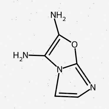 Nc1oc2nccn2c1N